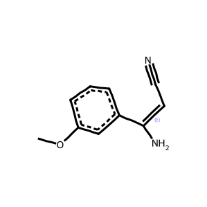 COc1cccc(/C(N)=C\C#N)c1